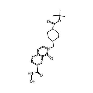 CC(C)(C)OC(=O)N1CCC(Cn2ccc3ccc(C(=O)NO)cc3c2=O)CC1